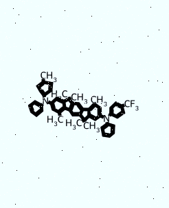 Cc1ccc(N(c2ccccc2)c2cc(C)c3c(c2)C(C)(C)c2cc4c(cc2-3)C(C)(C)c2cc(N(c3ccccc3)c3ccc(C(F)(F)F)cc3)cc(C)c2-4)cc1